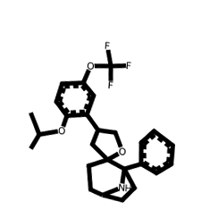 CC(C)Oc1ccc(OC(F)(F)F)cc1C1COC2(CCC3CCC2(c2ccccc2)N3)C1